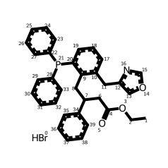 Br.CCOC(=O)CC(Cc1c(Cc2cocn2)cccc1P(c1ccccc1)c1ccccc1)c1ccccc1